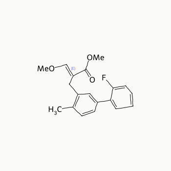 CO/C=C(\Cc1cc(-c2ccccc2F)ccc1C)C(=O)OC